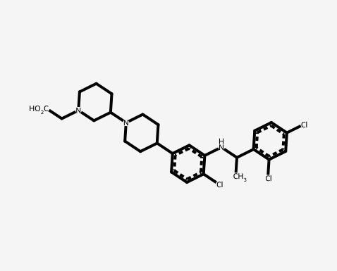 CC(Nc1cc(C2CCN(C3CCCN(CC(=O)O)C3)CC2)ccc1Cl)c1ccc(Cl)cc1Cl